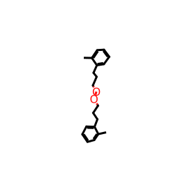 Cc1ccccc1CCCOOCCCc1ccccc1C